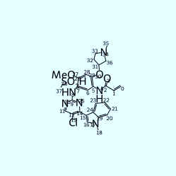 C=CC(=O)Nc1cc(Nc2ncc(Cl)c(-c3cn(C)c4ccccc34)n2)c(OC)cc1OC1CCN(C)C1.CS(=O)(=O)O